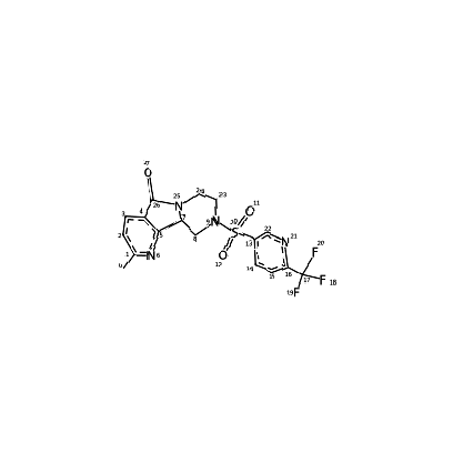 Cc1ccc2c(n1)C1CN(S(=O)(=O)c3ccc(C(F)(F)F)nc3)CCN1C2=O